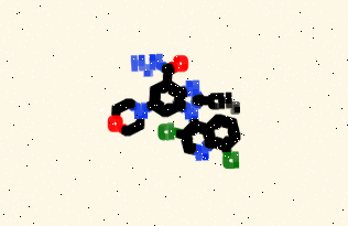 Cc1nc2c(C(N)=O)cc(N3CCOCC3)cc2n1-c1c(Cl)cnc2c(Cl)cccc12